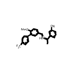 COc1ccc(CNC(C)c2cccc(C#N)c2)cc1-c1ccc(C(F)(F)F)cc1